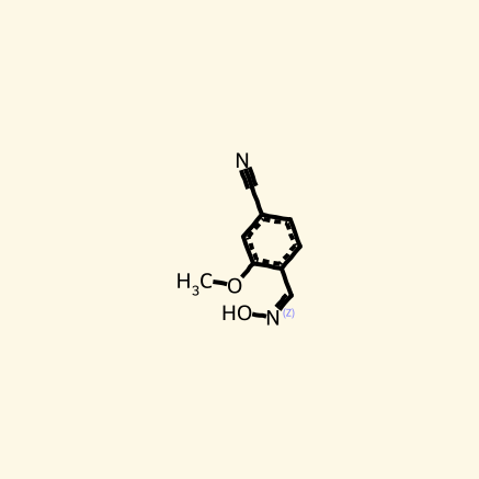 COc1cc(C#N)ccc1/C=N\O